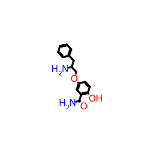 NC(=O)c1cc(OCC(N)Cc2ccccc2)ccc1O